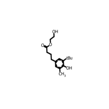 Cc1cc(CCCC(=O)OCCO)cc(C(C)(C)C)c1O